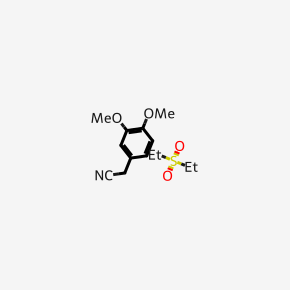 CCS(=O)(=O)CC.COc1ccc(CC#N)cc1OC